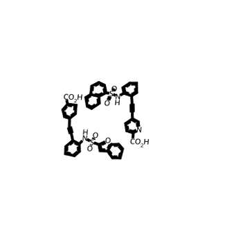 O=C(O)c1ccc(C#Cc2ccccc2NS(=O)(=O)c2cc3ccccc3o2)cc1.O=C(O)c1ccc(C#Cc2ccccc2NS(=O)(=O)c2cccc3ccccc23)cn1